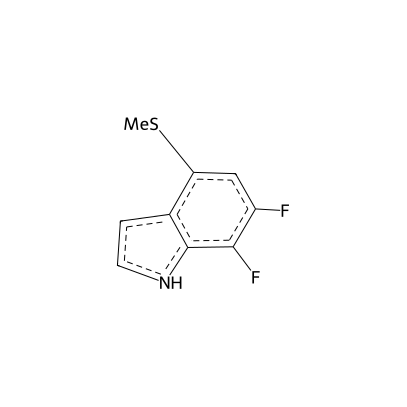 CSc1cc(F)c(F)c2[nH]ccc12